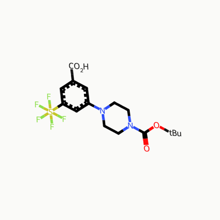 CC(C)(C)OC(=O)N1CCN(c2cc(C(=O)O)cc(S(F)(F)(F)(F)F)c2)CC1